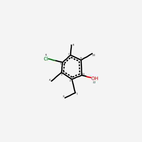 CCc1c(C)c(Cl)c(C)c(C)c1O